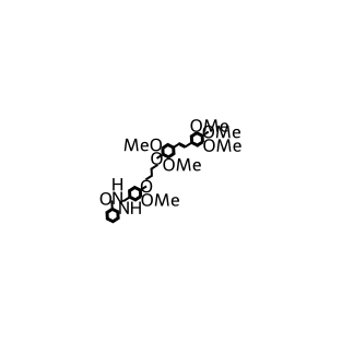 COc1cc(C2NC(=O)c3ccccc3N2)ccc1OCCCCOc1c(OC)cc(C=Cc2cc(OC)c(OC)c(OC)c2)cc1OC